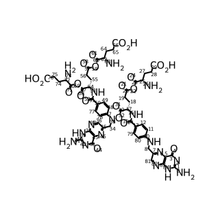 Nc1nc(=O)c2nc(CNc3ccc(C(=O)N[C@@H](CCC(=O)OC(=O)[C@@H](N)CCC(=O)O)C(=O)ON(Cc4cnc5[nH]c(N)nc(=O)c5n4)c4ccc(C(=O)N[C@@H](CCC(=O)OC(=O)[C@@H](N)CCC(=O)O)C(=O)OC(=O)[C@@H](N)CCC(=O)O)cc4)cc3)cnc2[nH]1